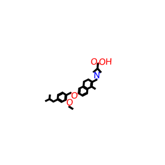 CCOc1cc(CC(C)C)ccc1COc1ccc2c(c1)CCC(CN1CC(C(=O)O)C1)=C2C